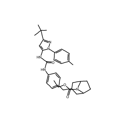 CCOC(=O)N1C2CCC1CC(Cc1ccc(NC(=O)Nc3cc(C(C)(C)C)nn3-c3ccc(C)cc3)cc1)C2